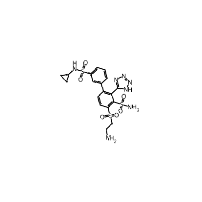 NCCS(=O)(=O)c1ccc(-c2cccc(S(=O)(=O)NC3CC3)c2)c(-c2nnn[nH]2)c1S(N)(=O)=O